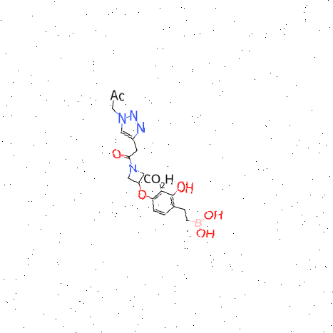 CC(=O)Cn1cc(CC(=O)N2CC(Oc3ccc(CCB(O)O)c(O)c3C(=O)O)C2)nn1